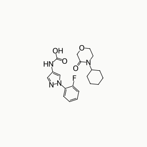 O=C(O)Nc1cnn(-c2ccccc2F)c1.O=C1COCCN1C1CCCCC1